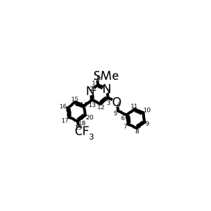 CSc1nc(OCc2ccccc2)cc(-c2cccc(C(F)(F)F)c2)n1